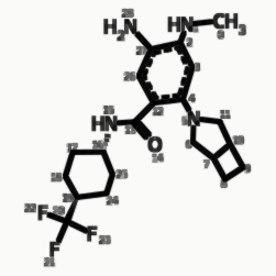 CNc1cc(N2CC3CCC3C2)c(C(=O)N[C@H]2CC[C@H](C(F)(F)F)CC2)cc1N